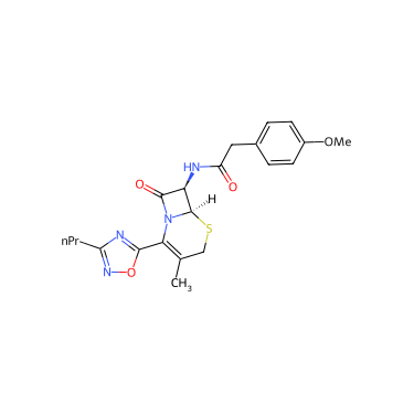 CCCc1noc(C2=C(C)CS[C@@H]3[C@H](NC(=O)Cc4ccc(OC)cc4)C(=O)N23)n1